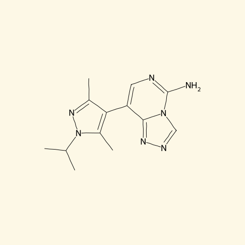 Cc1nn(C(C)C)c(C)c1-c1cnc(N)n2cnnc12